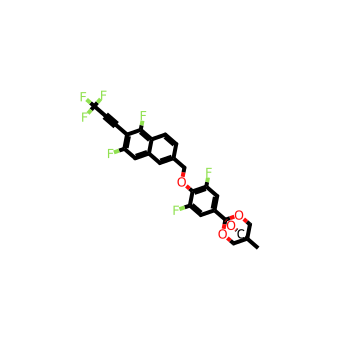 CC12COC(c3cc(F)c(OCc4ccc5c(F)c(C#CC(F)(F)F)c(F)cc5c4)c(F)c3)(OC1)OC2